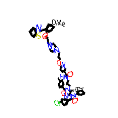 COc1ccc(OCCN2CCN(CCCOc3ccc(C(=O)NCCCN(C(=O)c4ccc(C)cc4)[C@@H](c4nc5cc(Cl)ccc5c(=O)n4-c4ccccc4)C(C)C)cn3)CC2)c(-c2nc3ccccc3s2)c1